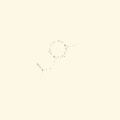 C=C(C)Cc1cccc(CC)c1